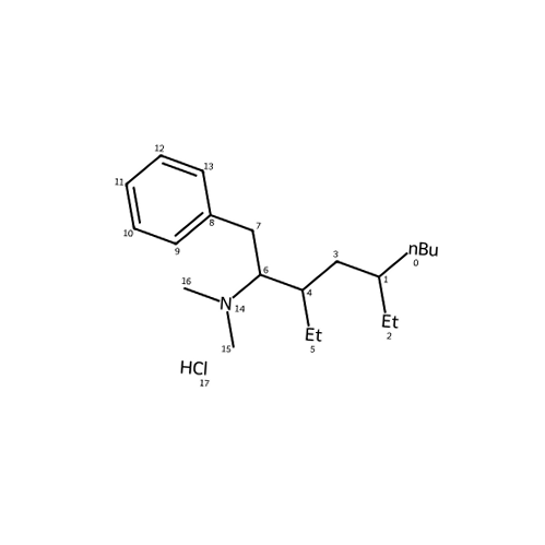 CCCCC(CC)CC(CC)C(Cc1ccccc1)N(C)C.Cl